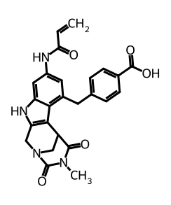 C=CC(=O)Nc1cc(Cc2ccc(C(=O)O)cc2)c2c3c([nH]c2c1)CN1CC3C(=O)N(C)C1=O